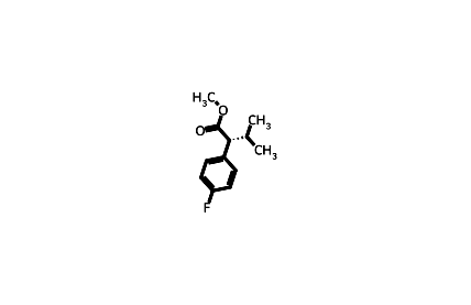 COC(=O)[C@@H](c1ccc(F)cc1)C(C)C